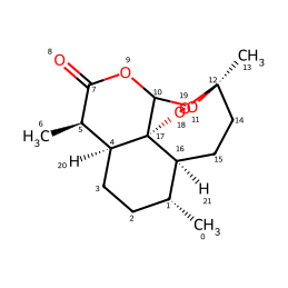 C[C@@H]1CC[C@H]2[C@@H](C)C(=O)OC3O[C@]4(C)CC[C@@H]1[C@]32OO4